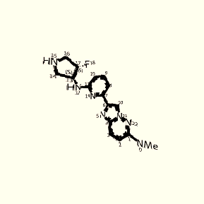 CNc1ccc2nc(-c3cccc(N[C@H]4CNC[C@@H]4F)n3)cn2n1